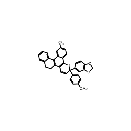 COc1ccc(C2(c3ccc4c(c3)OCO4)C=Cc3c4c(c5cc(C(F)(F)F)ccc5c3O2)-c2ccccc2CC4)cc1